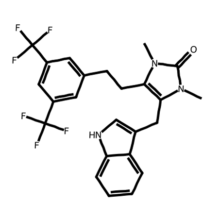 Cn1c(CCc2cc(C(F)(F)F)cc(C(F)(F)F)c2)c(Cc2c[nH]c3ccccc23)n(C)c1=O